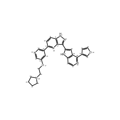 c1cc2[nH]c(-c3n[nH]c4ccc(-c5cncc(OCCN6CCCC6)c5)nc34)cc2c(-c2ccoc2)n1